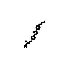 CCCCCc1ccc([C@H]2CC[C@H]([C@H]3CC[C@H](CCC=C(F)C#N)CC3)CC2)cc1